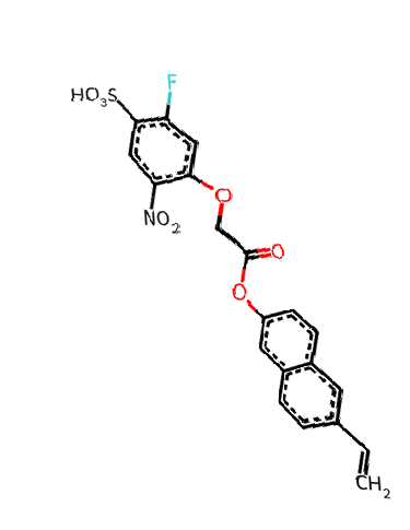 C=Cc1ccc2cc(OC(=O)COc3cc(F)c(S(=O)(=O)O)cc3[N+](=O)[O-])ccc2c1